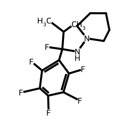 CC(C)C(F)(NN1CCCCC1)c1c(F)c(F)c(F)c(F)c1F